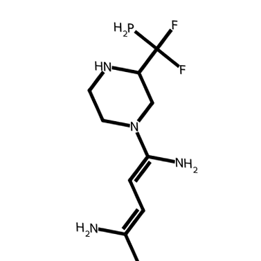 C/C(N)=C/C=C(\N)N1CCNC(C(F)(F)P)C1